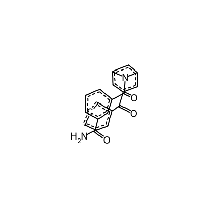 NC(=O)c1cccc(C(=O)N2c3cc(C(=O)c4ccccc4)cc2c3)c1